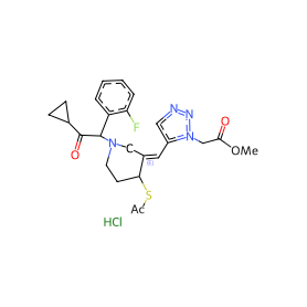 COC(=O)Cn1nncc1/C=C1\CN(C(C(=O)C2CC2)c2ccccc2F)CCC1SC(C)=O.Cl